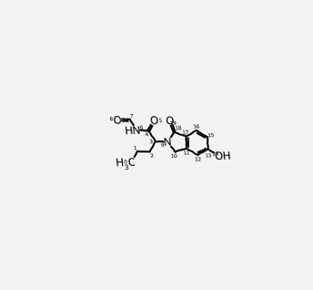 CCCC(C(=O)NC=O)N1Cc2cc(O)ccc2C1=O